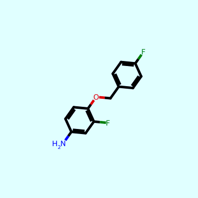 Nc1ccc(OCc2ccc(F)cc2)c(F)c1